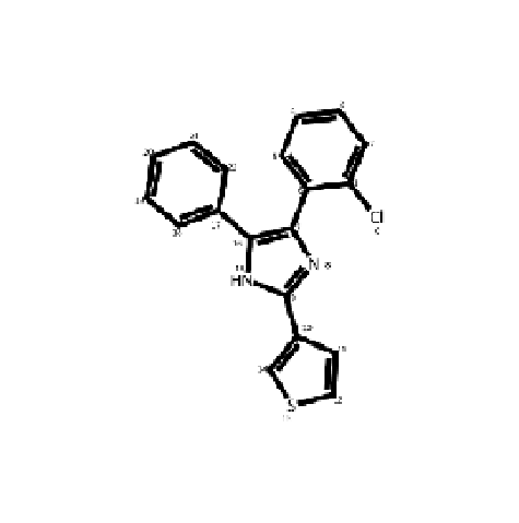 Clc1ccccc1-c1nc(-c2ccsc2)[nH]c1-c1ccccc1